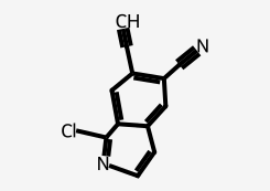 C#Cc1cc2c(Cl)nccc2cc1C#N